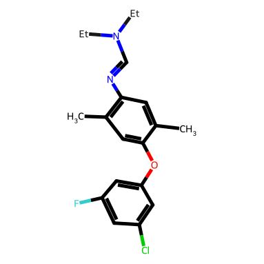 CCN(C=Nc1cc(C)c(Oc2cc(F)cc(Cl)c2)cc1C)CC